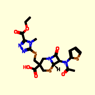 CCOC(=O)c1nnc(SCC2(C(=O)O)CS[C@@H]3C(N(C(C)=O)c4cccs4)C(=O)N3C2)n1C